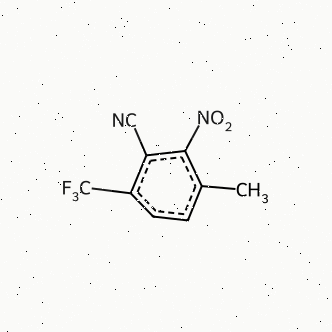 Cc1ccc(C(F)(F)F)c(C#N)c1[N+](=O)[O-]